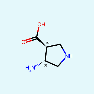 N[C@H]1CNC[C@@H]1C(=O)O